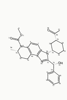 COC(=O)N1c2ccc3c(nc([C@H](O)c4ccccc4)n3[C@H]3CCC[C@@H](C(C)=O)C3)c2CC[C@@H]1C